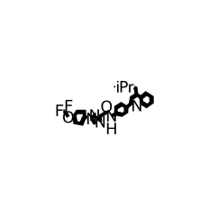 C[C](C)Cc1cc(-c2ccc(NC(=O)c3ncn(-c4ccc(OC(F)F)cc4)n3)cc2)nc2ccccc12